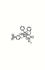 NC(=O)C(Cc1ccccc1)NC(=O)[C@H](Cc1ccc([N+](=O)[O-])cc1)NC(=O)c1ccccc1